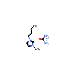 CCCC[n+]1ccn(C)c1.NC(N)=O.[Cl-]